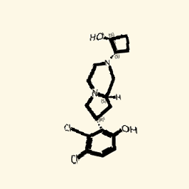 Oc1ccc(Cl)c(Cl)c1[C@H]1C[C@H]2CN([C@H]3CC[C@@H]3O)CCN2C1